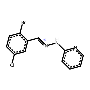 Clc1ccc(Br)c(/C=N/Nc2ccccn2)c1